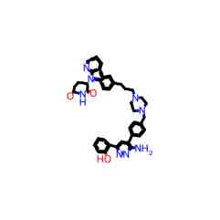 Nc1nnc(-c2ccccc2O)cc1-c1ccc(CN2CCN(CCCc3ccc4c(c3)c3cccnc3n4C3CCC(=O)NC3=O)CC2)cc1